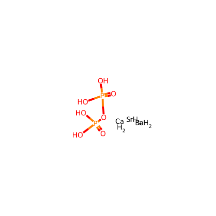 O=P(O)(O)OP(=O)(O)O.[BaH2].[CaH2].[SrH2]